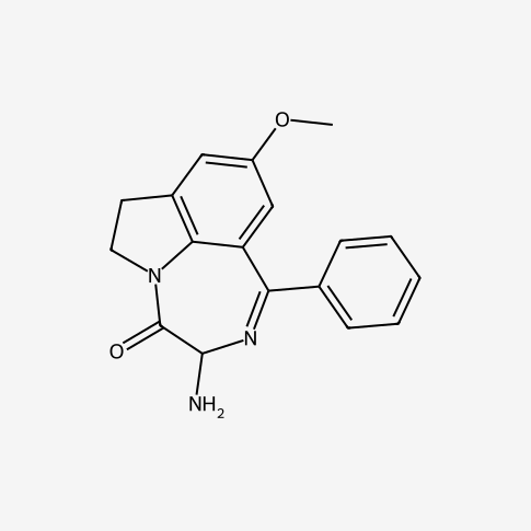 COc1cc2c3c(c1)C(c1ccccc1)=NC(N)C(=O)N3CC2